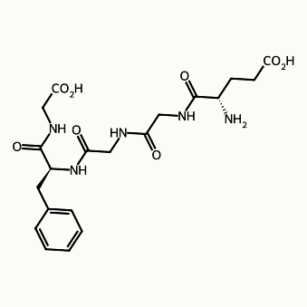 N[C@@H](CCC(=O)O)C(=O)NCC(=O)NCC(=O)N[C@@H](Cc1ccccc1)C(=O)NCC(=O)O